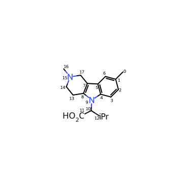 Cc1ccc2c(c1)c1c(n2C(C(=O)O)C(C)C)CCN(C)C1